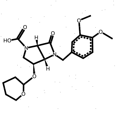 COc1ccc(CN2C(=O)[C@@H]3[C@H]2[C@@H](OC2CCCCO2)CN3C(=O)O)cc1OC